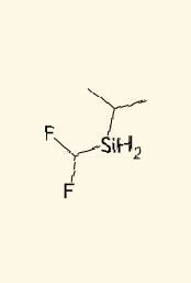 CC(C)[SiH2]C(F)F